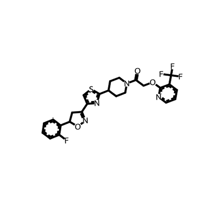 O=C(COc1ncccc1C(F)(F)F)N1CCC(c2nc(C3=NOC(c4[c]cccc4F)C3)cs2)CC1